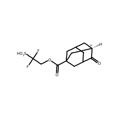 O=C1C2CC3C[C@@H]1CC(C(=O)OCC(F)(F)S(=O)(=O)O)(C3)C2